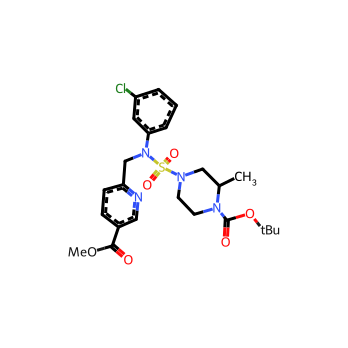 COC(=O)c1ccc(CN(c2cccc(Cl)c2)S(=O)(=O)N2CCN(C(=O)OC(C)(C)C)C(C)C2)nc1